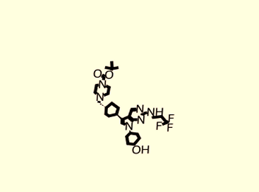 CC(C)(C)OC(=O)N1CCN(C[C@H]2CC[C@H](c3cn([C@H]4CC[C@H](O)CC4)c4nc(NCCC(F)(F)F)ncc43)CC2)CC1